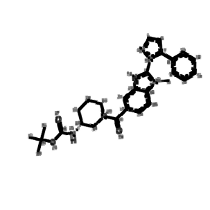 Cn1c(-n2nccc2-c2ccccc2)nc2cc(C(=O)N3CCC[C@@H](NC(=O)OC(C)(C)C)C3)ccc21